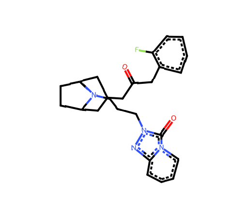 O=C(Cc1ccccc1F)CC1CC2CCC(C1)N2CCCn1nc2ccccn2c1=O